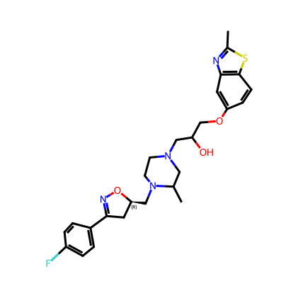 Cc1nc2cc(OCC(O)CN3CCN(C[C@H]4CC(c5ccc(F)cc5)=NO4)C(C)C3)ccc2s1